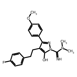 COc1ccc(-c2nn(C(=N)N(C)C)c(O)c2CCc2ccc(F)cc2)cc1